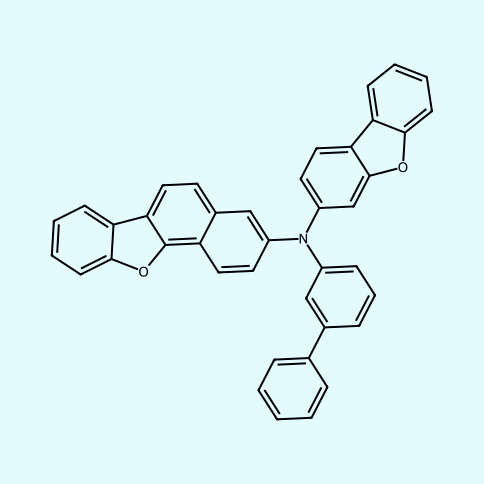 c1ccc(-c2cccc(N(c3ccc4c(ccc5c6ccccc6oc45)c3)c3ccc4c(c3)oc3ccccc34)c2)cc1